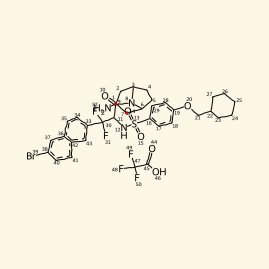 NC1CC2CCC(C1)N2C(=O)C(NS(=O)(=O)c1ccc(OCC2CCCCC2)cc1)C(F)(F)c1ccc2cc(Br)ccc2c1.O=C(O)C(F)(F)F